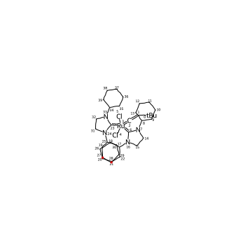 CC(C)(C)C=[C]=[Ru]([Cl])([Cl])(=[C]1N(C2CCCCC2)CCN1C1CCCCC1)=[C]1N(C2CCCCC2)CCN1C1CCCCC1